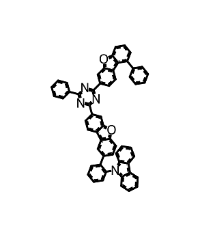 c1ccc(-c2nc(-c3ccc4c(c3)oc3ccc(-c5ccccc5-n5c6ccccc6c6ccccc65)cc34)nc(-c3ccc4c(c3)oc3cccc(-c5ccccc5)c34)n2)cc1